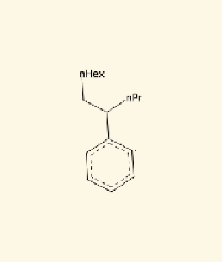 CCCCCCCC(CCC)c1[c]cccc1